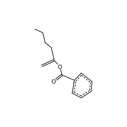 C=C(CCCC)OC(=O)c1ccccc1